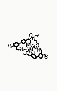 C=CC1=Cc2ccc(-c3ccc(C=O)c(/C=C\N(C)C(=O)CONC4=Nc5cc(-c6ccc(C=O)c(/C=C\N(C)CCO)c6)ccc5C=C(C(=O)N(CCC)CCC)C4)c3)cc2N=C(N)C1